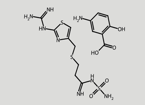 N=C(N)Nc1nc(CSCCC(=N)NS(N)(=O)=O)cs1.Nc1ccc(O)c(C(=O)O)c1